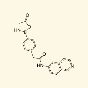 O=C(Cc1ccc(B2NCC(=O)O2)cc1)Nc1ccc2cnccc2c1